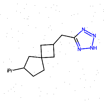 CC(C)C1CCC2(CC(Cc3nn[nH]n3)C2)C1